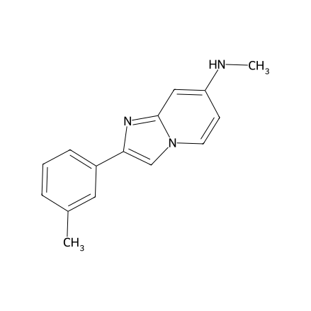 CNc1ccn2cc(-c3cccc(C)c3)nc2c1